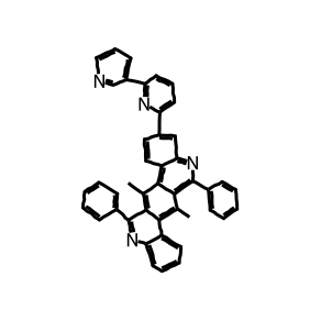 Cc1c2c(-c3ccccc3)nc3cc(-c4cccc(-c5cccnc5)n4)ccc3c2c(C)c2c(-c3ccccc3)nc3ccccc3c12